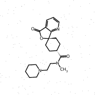 CN(CCN1CCCCC1)C(=O)[C@H]1CC[C@@]2(CC1)OC(=O)c1cccnc12